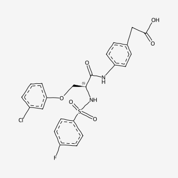 O=C(O)Cc1ccc(NC(=O)[C@H](COc2cccc(Cl)c2)NS(=O)(=O)c2ccc(F)cc2)cc1